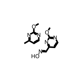 COc1nccc(C)n1.COc1nccc(C=NO)n1